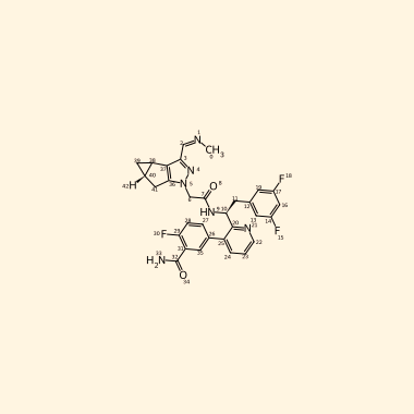 C/N=C\c1nn(CC(=O)N[C@@H](Cc2cc(F)cc(F)c2)c2ncccc2-c2ccc(F)c(C(N)=O)c2)c2c1C1C[C@H]1C2